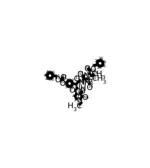 CCN1CCN(C(=O)NC(C(=O)N[C@@H]2C(=O)N3[C@@H](C(=O)OCc4ccccc4)C(C)(C)SC23NC=O)c2ccc(OC(=O)OCc3ccccc3)cc2)C(=O)C1=O